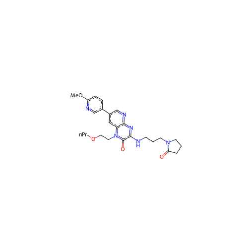 CCCOCCn1c(=O)c(NCCCN2CCCC2=O)nc2ncc(-c3ccc(OC)nc3)cc21